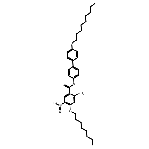 CCCCCCCCCOc1ccc(-c2ccc(OC(=O)c3cc([N+](=O)[O-])c(OCCCCCCCC)cc3N)cc2)cc1